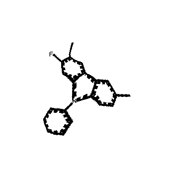 Cc1ccc2c(c1)c1cc(C)c(F)cc1n2-c1ccccc1